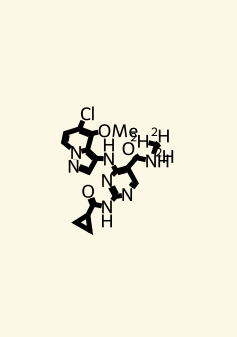 [2H]C([2H])([2H])NC(=O)c1cnc(NC(=O)C2CC2)nc1Nc1cnn2ccc(Cl)c(OC)c12